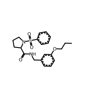 CCCOc1cccc(CNC(=O)C2CCCN2S(=O)(=O)c2ccccc2)c1